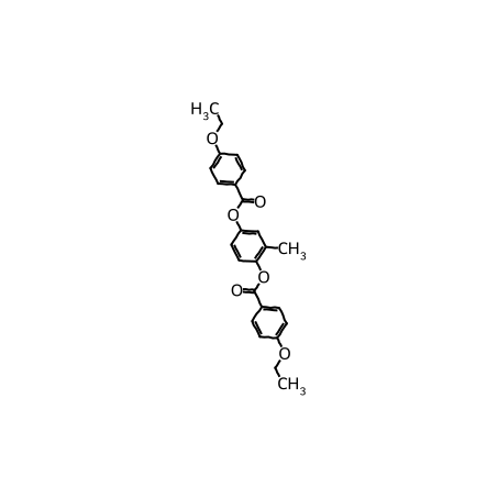 CCOc1ccc(C(=O)Oc2ccc(OC(=O)c3ccc(OCC)cc3)c(C)c2)cc1